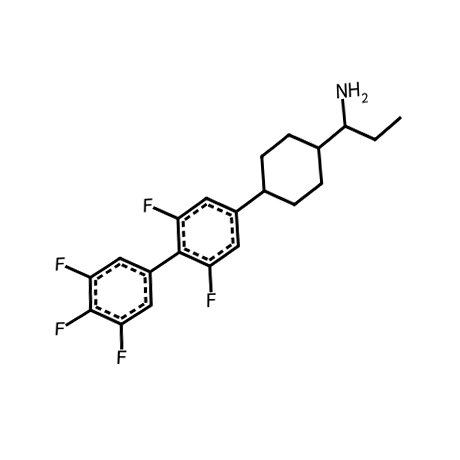 CCC(N)C1CCC(c2cc(F)c(-c3cc(F)c(F)c(F)c3)c(F)c2)CC1